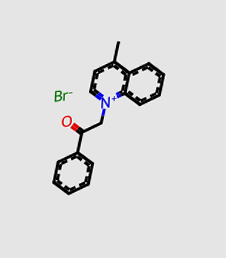 Cc1cc[n+](CC(=O)c2ccccc2)c2ccccc12.[Br-]